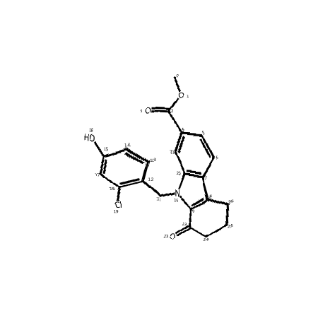 COC(=O)c1ccc2c3c(n(Cc4ccc(O)cc4Cl)c2c1)C(=O)CCC3